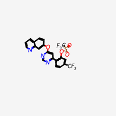 O=S(=O)(Oc1cc(C(F)(F)F)ccc1-c1cc(Oc2ccc3cccnc3c2)ncn1)C(F)(F)F